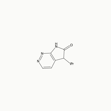 CC(C)C1C(=O)Nc2nnccc21